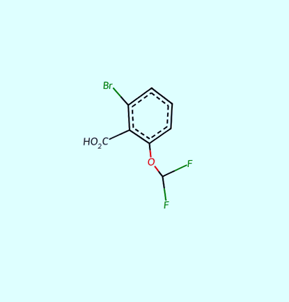 O=C(O)c1c(Br)cccc1OC(F)F